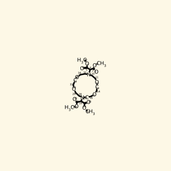 COC(=O)C(C(=O)OC)N1CCOCCOCCN(C(C(=O)OC)C(=O)OC)CCOCCOCC1